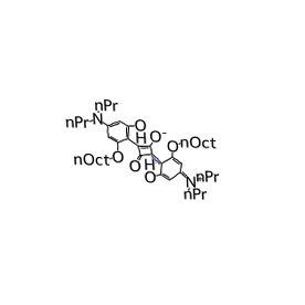 CCCCCCCCOC1=CC(=[N+](CCC)CCC)C=C(O)/C1=C1\C(=O)C(c2c(O)cc(N(CCC)CCC)cc2OCCCCCCCC)=C1[O-]